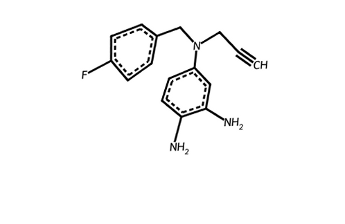 C#CCN(Cc1ccc(F)cc1)c1ccc(N)c(N)c1